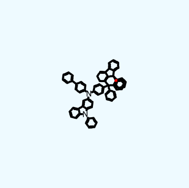 C1=C2C3=C(CC1)C(c1ccccc1)(c1ccc(N(c4ccc(-c5ccccc5)cc4)c4ccc5c(c4)c4ccccc4n5-c4ccccc4)cc1)c1ccccc1C3(c1ccccc1)c1ccccc12